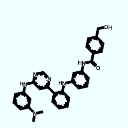 CN(C)c1cccc(Nc2cc(-c3ccccc3Nc3cccc(NC(=O)c4ccc(CO)cc4)c3)ncn2)c1